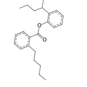 CCCCCc1ccccc1C(=O)Oc1ccccc1C(C)CCC